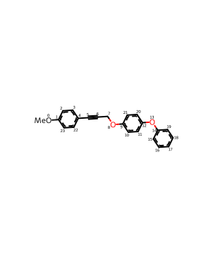 COc1ccc(C#CCOc2ccc(Oc3ccccc3)cc2)cc1